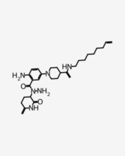 C=CCCCCCCCNC(=C)C1CCN(c2ccc(N)c(C(=O)N(N)C3CCC(=C)NC3=O)c2)CC1